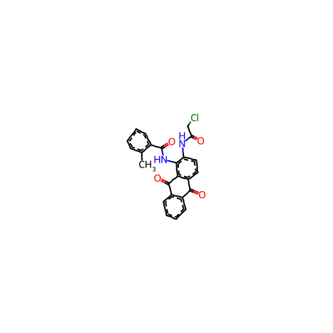 Cc1ccccc1C(=O)Nc1c(NC(=O)CCl)ccc2c1C(=O)c1ccccc1C2=O